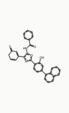 O=C(Nc1oc(-c2ccc(-c3cccc4ccccc34)cc2O)nc1C1=CC(=S)CC=C1)c1ccccc1